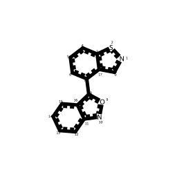 [c]1nsc2cccc(-c3onc4ccccc34)c12